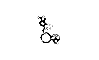 CC1=C(N2CCCOCCN(C[C@H](O)c3ccc4c(c3C)COC4=O)CCC2=O)COC1=O